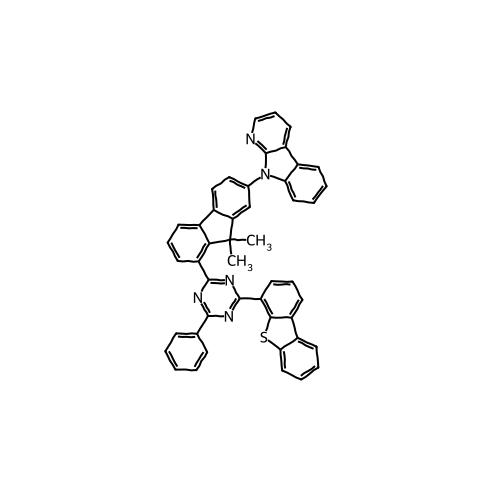 CC1(C)c2cc(-n3c4ccccc4c4cccnc43)ccc2-c2cccc(-c3nc(-c4ccccc4)nc(-c4cccc5c4sc4ccccc45)n3)c21